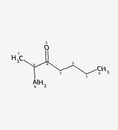 CCCCC(=O)[CH](C)[AlH2]